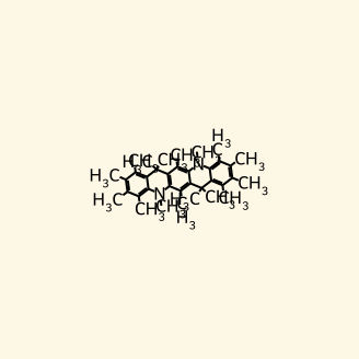 Cc1c(C)c(C)c2c(c1C)N(C)c1c(C)c3c(c(C)c1C2(C)C)N(C)c1c(C)c(C)c(C)c(C)c1C3(C)C